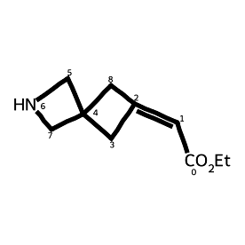 CCOC(=O)C=C1CC2(CNC2)C1